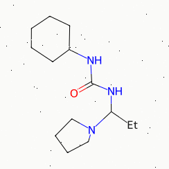 CCC(NC(=O)NC1CCCCC1)N1CCCC1